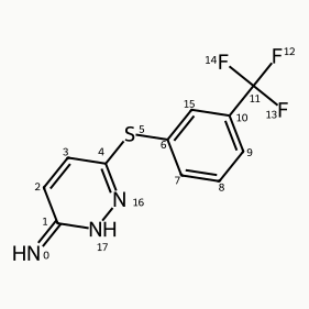 N=c1ccc(Sc2cccc(C(F)(F)F)c2)n[nH]1